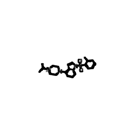 Cc1ccccc1S(=O)(=O)n1ccc2c(N3CCN(C(C)C)CC3)cccc21